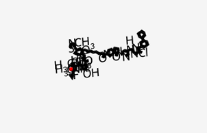 Cc1ncsc1-c1ccc(CNC(=O)[C@@H]2C[C@@H](O)CN2C(=O)C(NC(=O)C2(F)CC2)C(C)(C)C)c(OCCCCCCC(=O)N2CCC3(CC2)CCN(c2cncc(Nc4ncc(Cl)c(-c5cccc(-c6ccccc6)c5)n4)c2)C3=O)c1